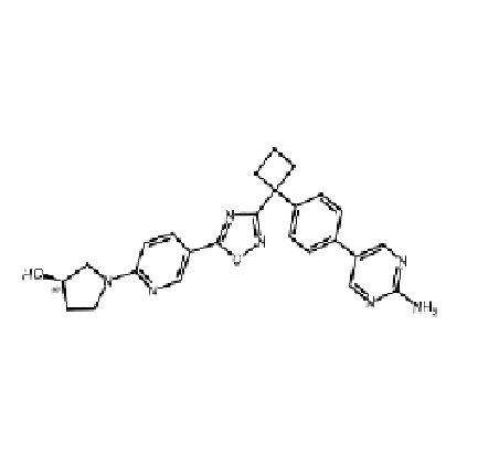 Nc1ncc(-c2ccc(C3(c4noc(-c5ccc(N6CC[C@@H](O)C6)nc5)n4)CCC3)cc2)cn1